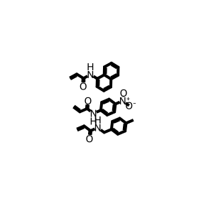 C=CC(=O)NCc1ccc(C)cc1.C=CC(=O)Nc1ccc([N+](=O)[O-])cc1.C=CC(=O)Nc1cccc2ccccc12